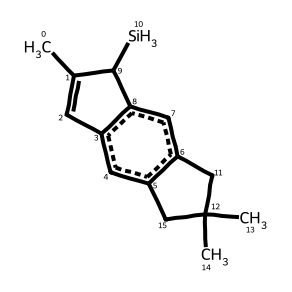 CC1=Cc2cc3c(cc2C1[SiH3])CC(C)(C)C3